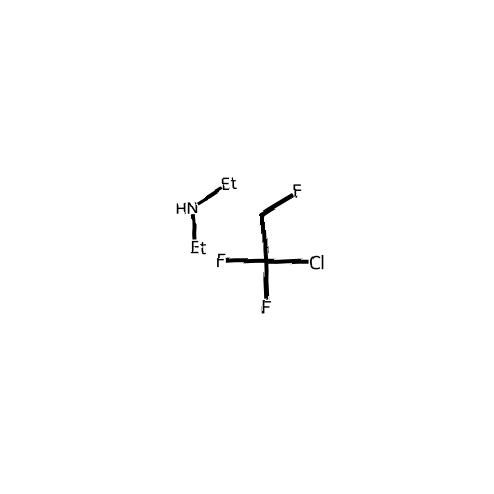 CCNCC.FCC(F)(F)Cl